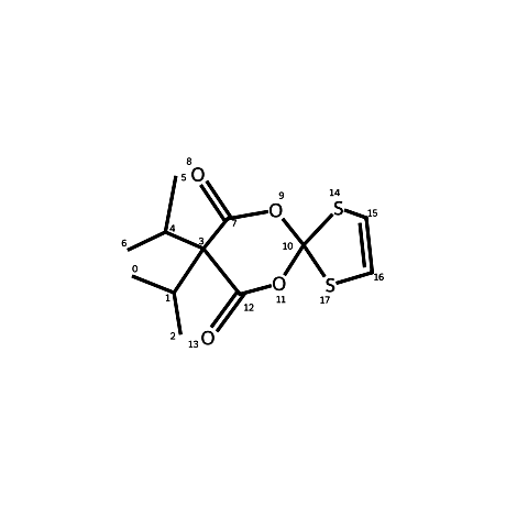 CC(C)C1(C(C)C)C(=O)OC2(OC1=O)SC=CS2